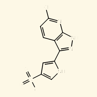 O=S(=O)(Cl)c1c[nH]c(-c2n[nH]c3nc(Cl)ccc23)c1